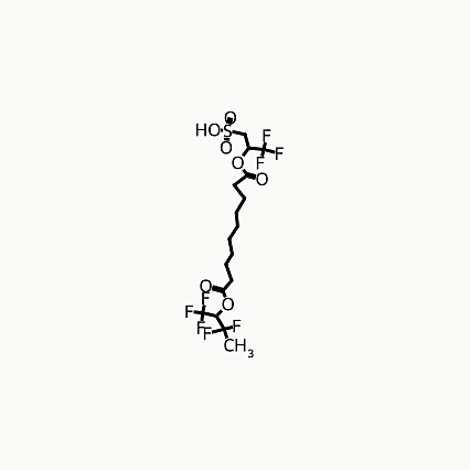 CC(F)(F)C(OC(=O)CCCCCCCCC(=O)OC(CS(=O)(=O)O)C(F)(F)F)C(F)(F)F